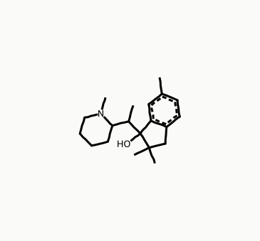 Cc1ccc2c(c1)C(O)(C(C)C1CCCCN1C)C(C)(C)C2